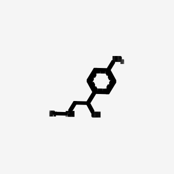 CC(C)NCC(O)c1ccc([N+](=O)[O-])cc1